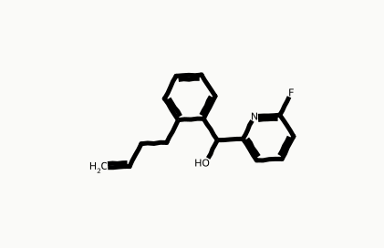 C=CCCc1ccccc1C(O)c1cccc(F)n1